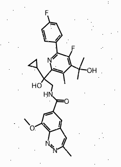 COc1cc(C(=O)NCC(O)(c2nc(-c3ccc(F)cc3)c(F)c(C(C)(C)O)c2C)C2CC2)cc2cc(C)nnc12